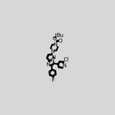 CC(C)(C)OC(=O)N1CCN(c2ccc3nc(-c4ccc(F)cc4)c(-c4ccnc(Cl)c4)n3n2)CC1